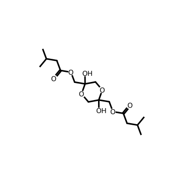 CC(C)CC(=O)OCC1(O)COC(O)(COC(=O)CC(C)C)CO1